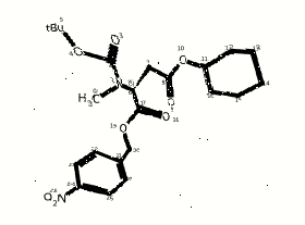 CN(C(=O)OC(C)(C)C)[C@@H](CC(=O)OC1CCCCC1)C(=O)OCc1ccc([N+](=O)[O-])cc1